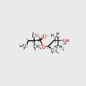 CCC(C)(C)C(=O)OC(C)CC(C)(C)O